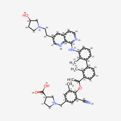 C=C(Oc1c(C)cc(CN2CC[C@@H](C(=O)O)C2)cc1C#N)c1cccc(-c2cccc(Nc3nccc4cc(CCN5CCC(O)C5)cnc34)c2C)c1C